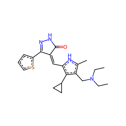 CCN(CC)Cc1c(C)[nH]c(C=C2C(=O)NN=C2c2cccs2)c1C1CC1